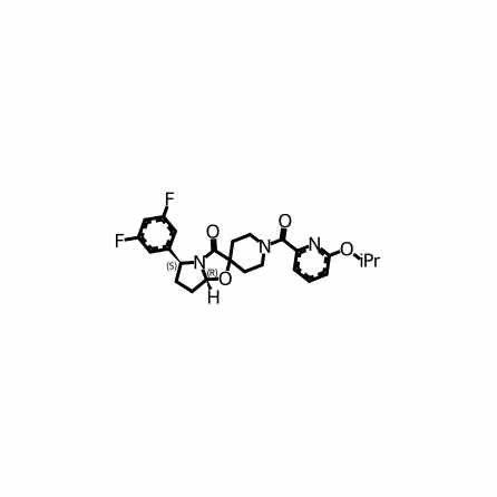 CC(C)Oc1cccc(C(=O)N2CCC3(CC2)O[C@@H]2CC[C@@H](c4cc(F)cc(F)c4)N2C3=O)n1